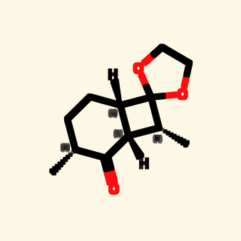 C[C@@H]1CC[C@H]2[C@@H](C1=O)[C@@H](C)C21OCCO1